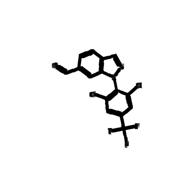 O=Cc1ccc2cnn(-c3c(Cl)cc(C(F)(F)F)cc3Cl)c2c1